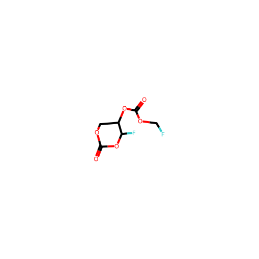 O=C1OCC(OC(=O)OCF)C(F)O1